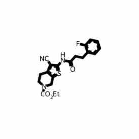 CCOC(=O)N1CCc2c(sc(NC(=O)CCc3ccccc3F)c2C#N)C1